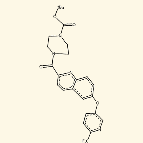 CC(C)(C)OC(=O)N1CCN(C(=O)c2ccc3cc(Oc4ccc(C(F)(F)F)nc4)ccc3n2)CC1